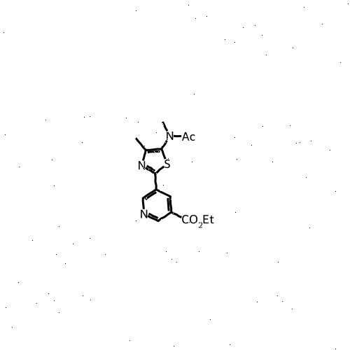 CCOC(=O)c1cncc(-c2nc(C)c(N(C)C(C)=O)s2)c1